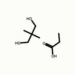 CC(C)(CO)CO.CCC(=O)O